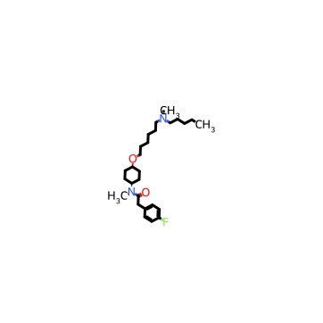 CCCCCN(C)CCCCCCO[C@H]1CC[C@H](N(C)C(=O)Cc2ccc(F)cc2)CC1